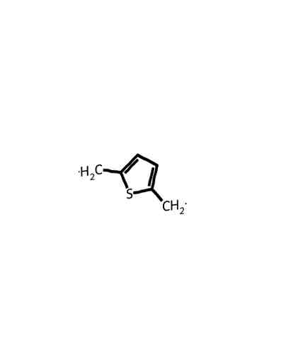 [CH2]c1ccc([CH2])s1